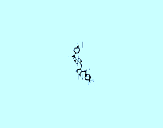 Nc1scc(CN2CCN(C(=O)c3ccc(Cl)cc3)CC2)c1C(=O)c1ccc(Cl)cc1